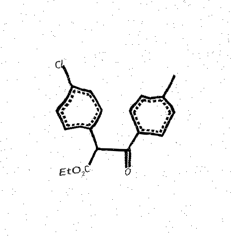 CCOC(=O)C(C(=O)c1ccc(C)cc1)c1ccc(Cl)cc1